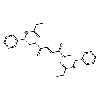 CCC(=O)N[C@H](COC(=O)/C=C/C(=O)OC[C@@H](NC(=O)CC)c1ccccc1)c1ccccc1